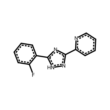 Fc1ccccc1-c1nc(-c2ccccn2)n[nH]1